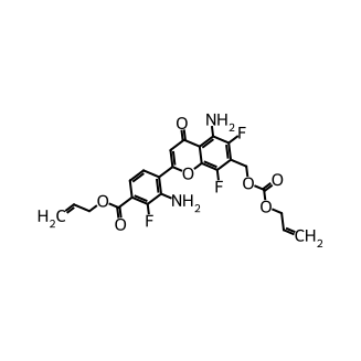 C=CCOC(=O)OCc1c(F)c(N)c2c(=O)cc(-c3ccc(C(=O)OCC=C)c(F)c3N)oc2c1F